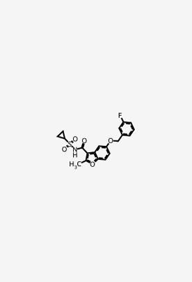 Cc1oc2ccc(OCc3cccc(F)c3)cc2c1C(=O)NS(=O)(=O)C1CC1